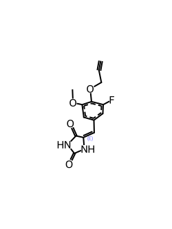 C#CCOc1c(F)cc(/C=C2/NC(=O)NC2=O)cc1OC